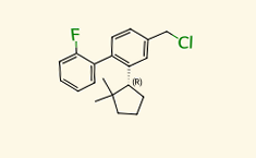 CC1(C)CCC[C@H]1c1cc(CCl)ccc1-c1ccccc1F